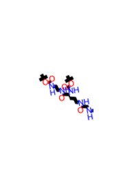 CNCC(=O)NCCC[C@H](NC(=O)OC(C)(C)C)C(=O)NCCNC(=O)OC(C)(C)C